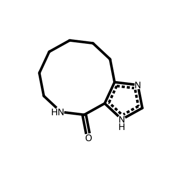 O=C1NCCCCCCc2nc[nH]c21